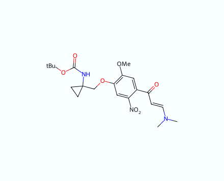 COc1cc(C(=O)C=CN(C)C)c([N+](=O)[O-])cc1OCC1(NC(=O)OC(C)(C)C)CC1